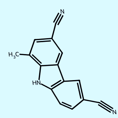 Cc1cc(C#N)cc2c1[nH]c1ccc(C#N)cc12